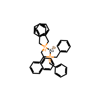 [Br][Au]([PH](Cc1ccccc1)(Cc1ccccc1)Cc1ccccc1)[PH](Cc1ccccc1)(Cc1ccccc1)Cc1ccccc1